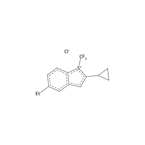 CCc1ccc2c(c1)cc(C1CC1)[s+]2C(F)(F)F.[Cl-]